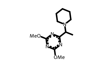 COc1nc(OC)nc(C(C)N2CCCCC2)n1